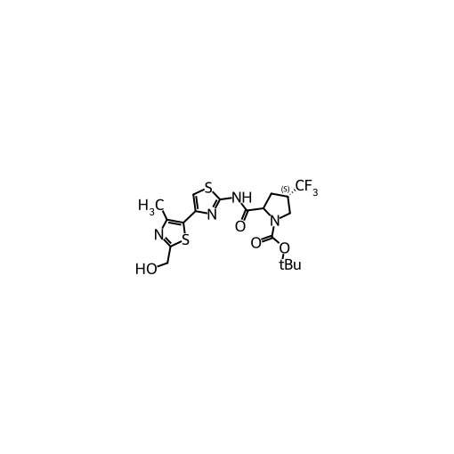 Cc1nc(CO)sc1-c1csc(NC(=O)C2C[C@H](C(F)(F)F)CN2C(=O)OC(C)(C)C)n1